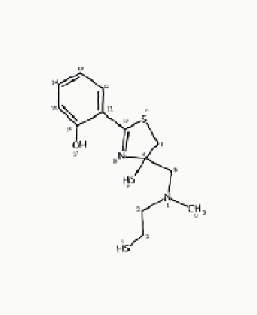 CN(CCS)CC1(S)CSC(c2ccccc2O)=N1